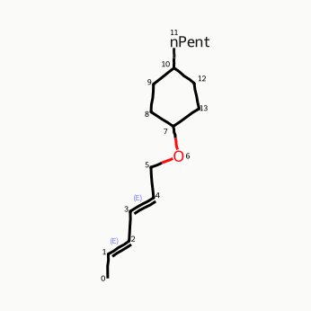 C/C=C/C=C/COC1CCC(CCCCC)CC1